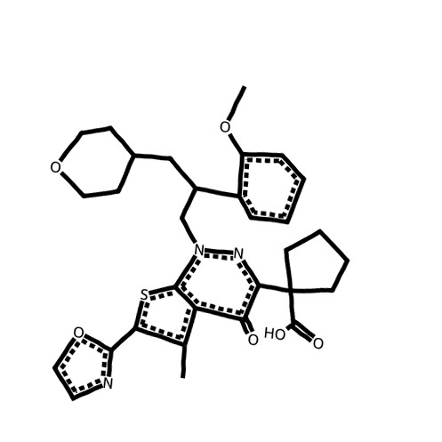 COc1ccccc1C(CC1CCOCC1)Cn1nc(C2(C(=O)O)CCCC2)c(=O)c2c(C)c(-c3ncco3)sc21